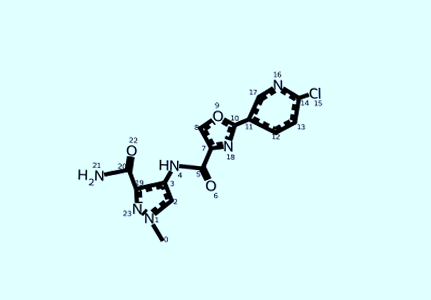 Cn1cc(NC(=O)c2coc(-c3ccc(Cl)nc3)n2)c(C(N)=O)n1